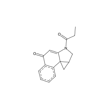 CCC(=O)N1CC2CC23C1=CC(=O)c1ccccc13